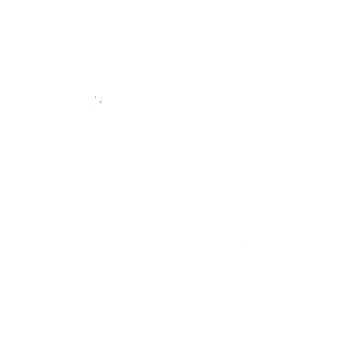 NC1CCCC(c2cccc(C(F)(F)F)c2)C1